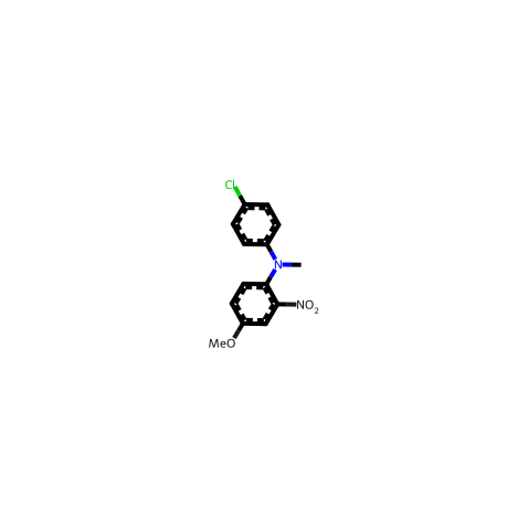 COc1ccc(N(C)c2ccc(Cl)cc2)c([N+](=O)[O-])c1